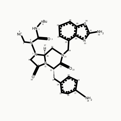 CCCCNC(=O)N(CC#N)N1CC(=O)N2[C@@H](Cc3ccc(N)cc3)C(=O)N(Cc3cccc4sc(N)nc34)C[C@@H]21